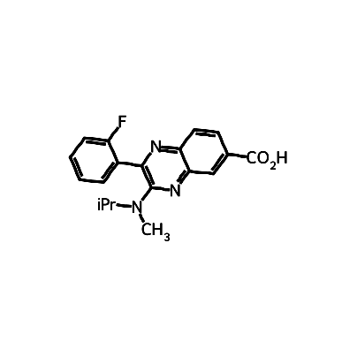 CC(C)N(C)c1nc2cc(C(=O)O)ccc2nc1-c1ccccc1F